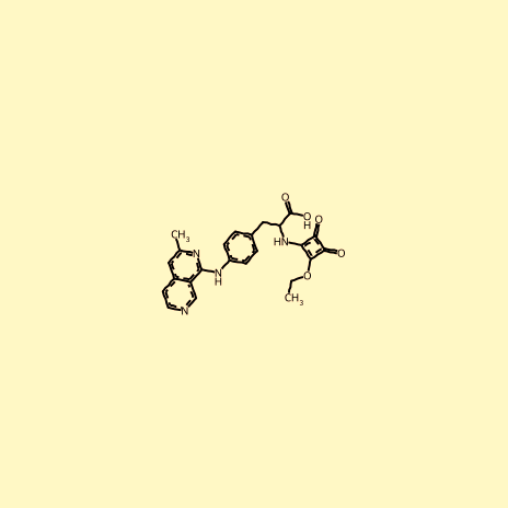 CCOc1c(NC(Cc2ccc(Nc3nc(C)cc4ccncc34)cc2)C(=O)O)c(=O)c1=O